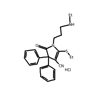 CCNCCCN1C(=O)C(c2ccccc2)(c2ccccc2)C(C#N)=C1SCC.Cl